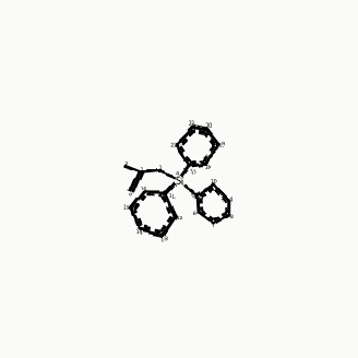 C=C(C)C[Si](c1ccccc1)(c1ccccc1)c1ccccc1